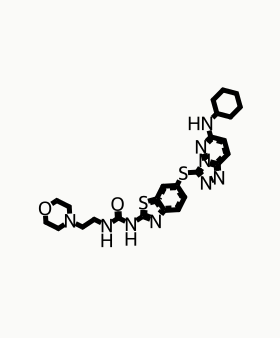 O=C(NCCN1CCOCC1)Nc1nc2ccc(Sc3nnc4ccc(NC5CCCCC5)nn34)cc2s1